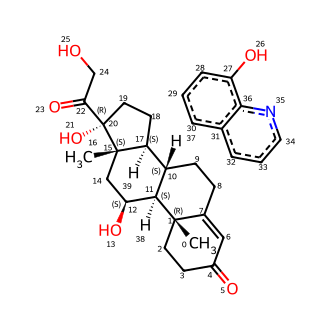 C[C@]12CCC(=O)C=C1CC[C@@H]1[C@@H]2[C@@H](O)C[C@@]2(C)[C@H]1CC[C@]2(O)C(=O)CO.Oc1cccc2cccnc12